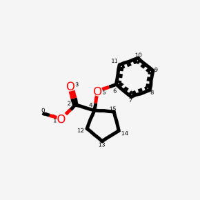 COC(=O)C1(Oc2ccccc2)CCCC1